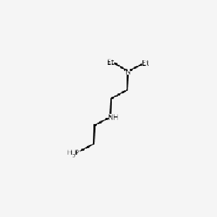 CCN(CC)CCNCCP